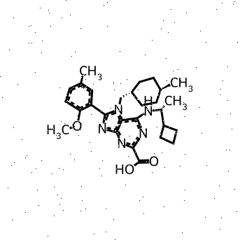 COc1ccc(C)cc1-c1nc2nc(C(=O)O)nc(N[C@H](C)C3CCC3)c2n1C[C@H]1CC[C@H](C)CC1